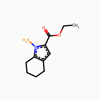 CCOC(=O)c1cc2c(n1P)CCCC2